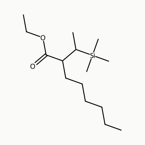 CCCCCCC(C(=O)OCC)C(C)[Si](C)(C)C